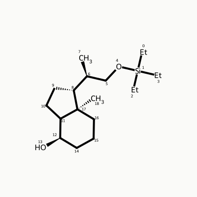 CC[Si](CC)(CC)OC[C@H](C)[C@H]1CCC2[C@H](O)CCC[C@@]21C